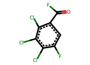 O=C(F)c1cc(F)c(Cl)c(Cl)c1Cl